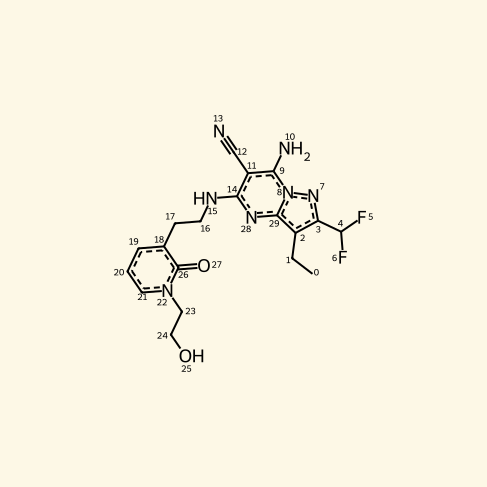 CCc1c(C(F)F)nn2c(N)c(C#N)c(NCCc3cccn(CCO)c3=O)nc12